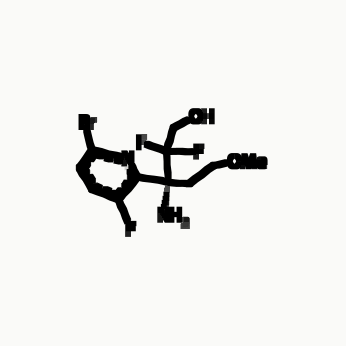 COCC[C@@](N)(c1nc(Br)ccc1F)C(F)(F)CO